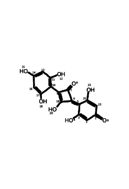 O=C1C=C(O)C(=C2C(=O)C(c3c(O)cc(O)cc3O)=C2O)C(O)=C1